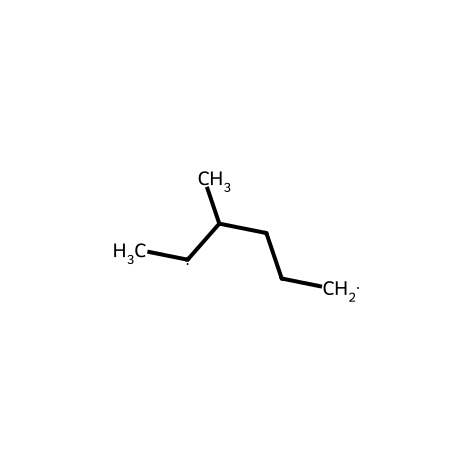 [CH2]CCC(C)[CH]C